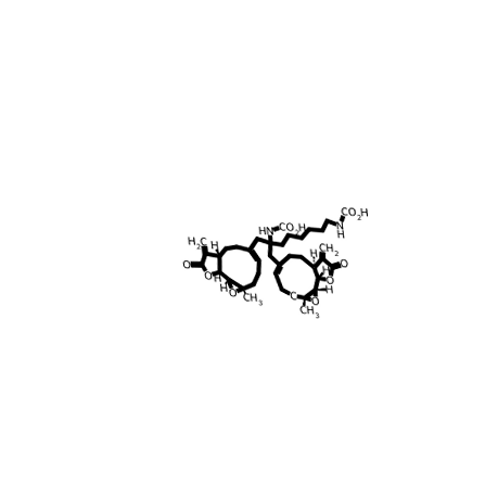 C=C1C(=O)O[C@H]2[C@H]1CC/C(CC(CCCCCCNC(=O)O)(C/C1=C/CC[C@@]3(C)O[C@H]3[C@H]3OC(=O)C(=C)[C@@H]3CC1)NC(=O)O)=C\CC[C@@]1(C)O[C@@H]21